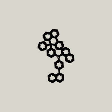 c1ccc(C2(c3cccc(N(c4ccc(-c5cccc6ccccc56)cc4)c4cccc5ccccc45)c3)c3ccccc3-c3cccc4cccc2c34)cc1